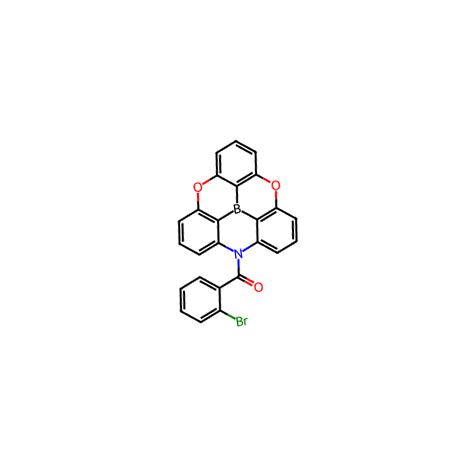 O=C(c1ccccc1Br)N1c2cccc3c2B2c4c(cccc4Oc4cccc1c42)O3